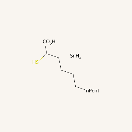 CCCCCCCCCC(S)C(=O)O.[SnH4]